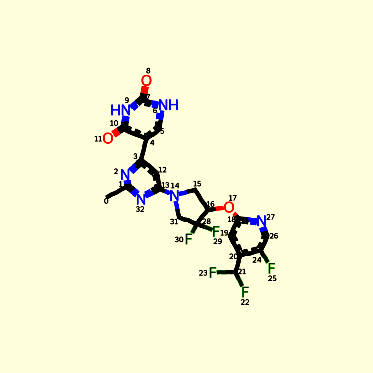 Cc1nc(-c2c[nH]c(=O)[nH]c2=O)cc(N2CC(Oc3cc(C(F)F)c(F)cn3)C(F)(F)C2)n1